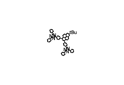 CC(C)(C)c1cc2ccc3c(-c4ccc(-c5nc(-c6ccccc6)nc(-c6ccccc6)n5)cc4)cc(-c4ccc(-c5nc(-c6ccccc6)nc(-c6ccccc6)n5)cc4)c4ccc(c1)c2c34